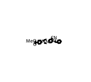 COC(=O)c1ccc(N2CCN(c3ccc(OCc4ccccc4)c(C#N)c3)CC2)cc1